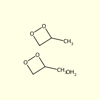 CC1COO1.CC1COO1.O